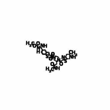 CNC(=O)CC1CN(S(=O)(=O)c2cc3cc(C(=N)NC(=O)OC)ccc3s2)CCN1C(=O)c1nc2c(s1)CNC(C)C2